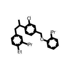 CCc1ccc(CC(C)c2ccc(COc3ccccc3C(C)C)cc2Cl)cc1C(C)C